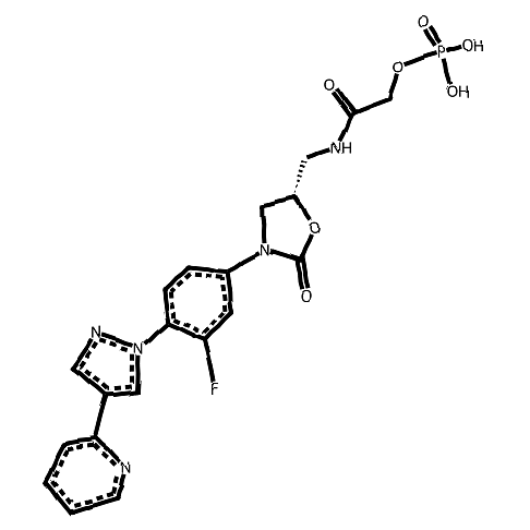 O=C(COP(=O)(O)O)NC[C@H]1CN(c2ccc(-n3cc(-c4ccccn4)cn3)c(F)c2)C(=O)O1